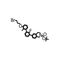 Cc1c(OCCCBr)cccc1-c1cccc(-c2ccc3c(c2)CCN(C(=O)OC(C)(C)C)C3)c1F